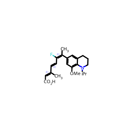 COc1cc(\C(C)=C(F)/C=C/C(C)=C/C(=O)O)cc2c1N(C(C)C)CCC2